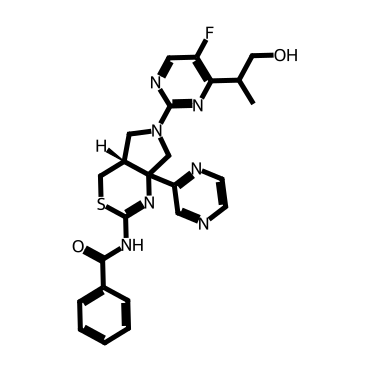 CC(CO)c1nc(N2C[C@H]3CSC(NC(=O)c4ccccc4)=NC3(c3cnccn3)C2)ncc1F